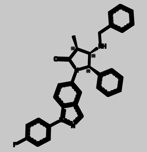 C[C@@H]1C(=O)N(c2ccc3c(cnn3-c3ccc(F)cc3)c2)[C@H](c2ccccc2)[C@H]1NCc1ccccc1